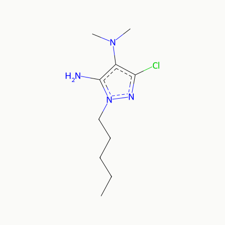 CCCCCn1nc(Cl)c(N(C)C)c1N